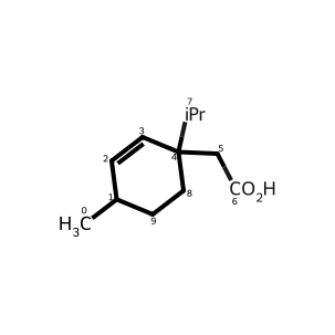 CC1C=CC(CC(=O)O)(C(C)C)CC1